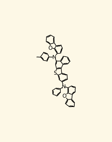 Cc1ccc(N(c2cc3sc4cc(N(c5ccccc5)c5cccc6c5oc5ccccc56)ccc4c3c3ccccc23)c2cccc3c2oc2ccccc23)cc1